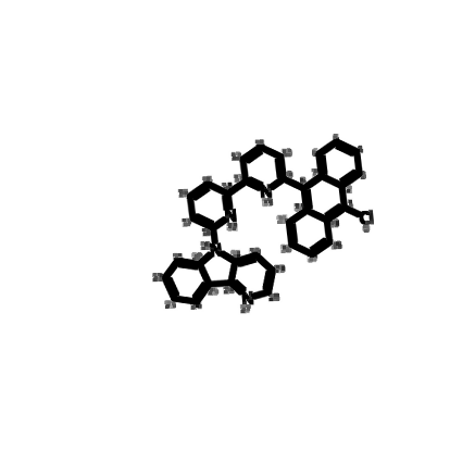 Clc1c2ccccc2c(-c2cccc(-c3cccc(-n4c5ccccc5c5ncccc54)n3)n2)c2ccccc12